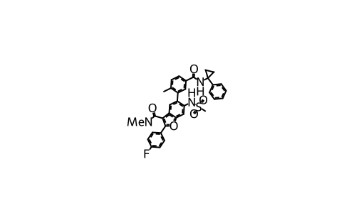 CNC(=O)c1c(-c2ccc(F)cc2)oc2cc(NS(C)(=O)=O)c(-c3cc(C(=O)NC4(c5ccccc5)CC4)ccc3C)cc12